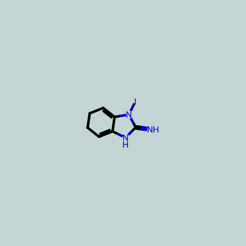 N=c1[nH]c2c(n1I)=CCCC=2